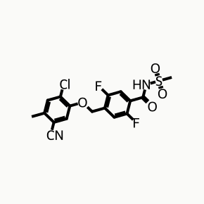 Cc1cc(Cl)c(OCc2cc(F)c(C(=O)NS(C)(=O)=O)cc2F)cc1C#N